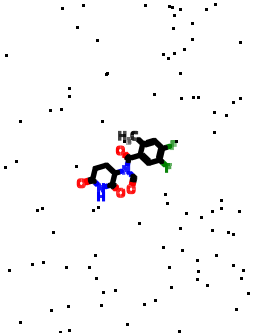 Cc1cc(F)c(F)cc1C(=O)N(C=O)C1CCC(=O)NC1=O